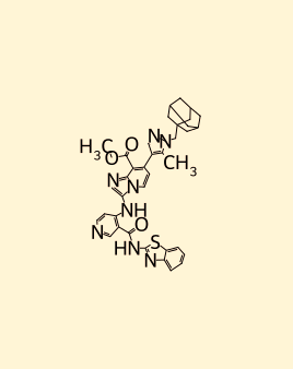 COC(=O)c1c(-c2cnn(CC34CC5CC(CC(C5)C3)C4)c2C)ccn2c(Nc3ccncc3C(=O)Nc3nc4ccccc4s3)cnc12